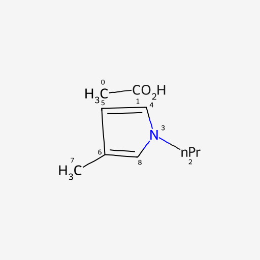 CC(=O)O.CCCn1ccc(C)c1